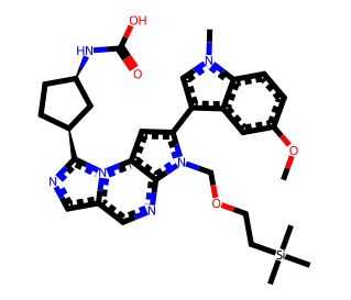 COc1ccc2c(c1)c(-c1cc3c(ncc4cnc([C@H]5CC[C@@H](NC(=O)O)C5)n43)n1COCC[Si](C)(C)C)cn2C